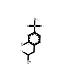 NS(=O)(=O)c1ccc(CC(O)F)c(Br)c1